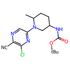 CC1CCC(NC(=O)OC(C)(C)C)CN1c1cnc(C#N)c(Cl)n1